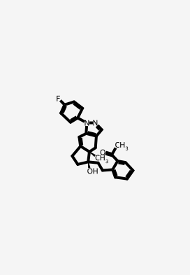 CC(=O)c1ccccc1CC[C@]1(O)CCC2=Cc3c(cnn3-c3ccc(F)cc3)C[C@@]21C